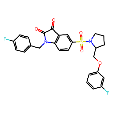 O=C1C(=O)N(Cc2ccc(F)cc2)c2ccc(S(=O)(=O)N3CCCC3COc3cccc(F)c3)cc21